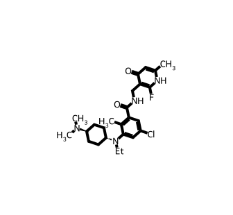 CCN(c1cc(Cl)cc(C(=O)NCc2c(F)[nH]c(C)cc2=O)c1C)[C@H]1CC[C@H](N(C)C)CC1